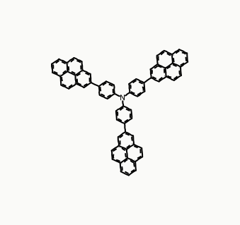 c1cc2ccc3cc(-c4ccc(N(c5ccc(-c6cc7ccc8cccc9ccc(c6)c7c89)cc5)c5ccc(-c6cc7ccc8cccc9ccc(c6)c7c89)cc5)cc4)cc4ccc(c1)c2c34